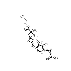 CC(N)(CN1CC(Oc2ccc(C3CC3B(O)O)c(O)c2C(=O)O)C1)C(=O)NCCO